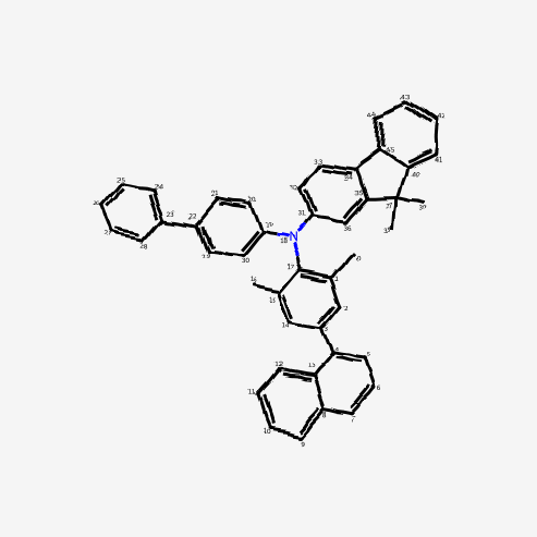 Cc1cc(-c2cccc3ccccc23)cc(C)c1N(c1ccc(-c2ccccc2)cc1)c1ccc2c(c1)C(C)(C)c1ccccc1-2